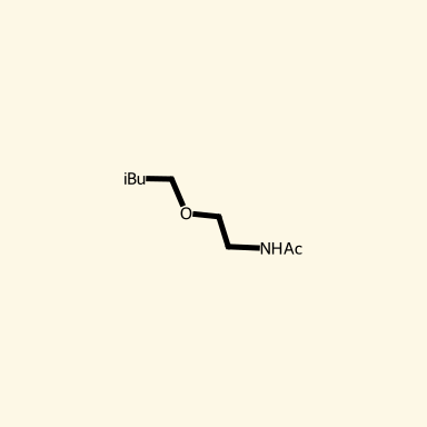 CCC(C)COCCNC(C)=O